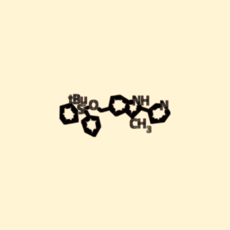 Cc1c(-c2cccnc2)[nH]c2ccc(CO[Si](c3ccccc3)(c3ccccc3)C(C)(C)C)cc12